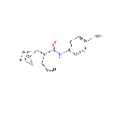 CSc1ccc(NC(=O)C2C(C(=O)O)C3CCC2C32CC2)cc1